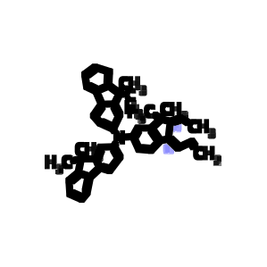 C=C/C=C1\C(=C/C)C(C)(C)c2cc(N(c3ccc4c(c3)C(C)(C)c3ccccc3-4)c3ccc4c(c3)C(C)(C)c3ccccc3-4)ccc21